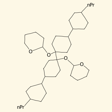 CCCC1CCC(C2CCC(OC3CCCCO3)(C3(OC4CCCCO4)CCC(C4CCC(CCC)CC4)CC3)CC2)CC1